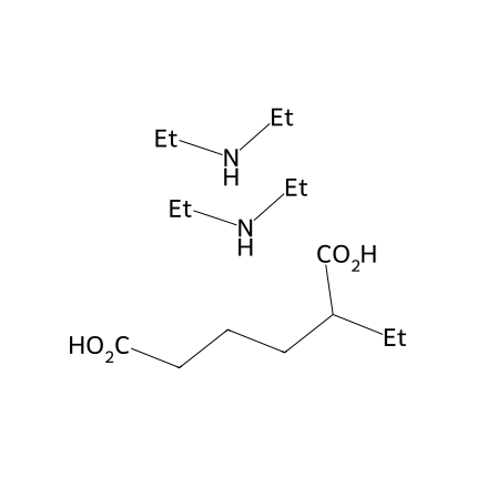 CCC(CCCC(=O)O)C(=O)O.CCNCC.CCNCC